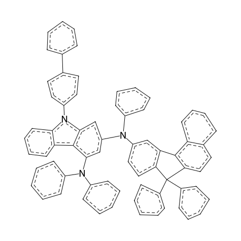 c1ccc(-c2ccc(-n3c4ccccc4c4c(N(c5ccccc5)c5ccccc5)cc(N(c5ccccc5)c5ccc6c(c5)-c5c(ccc7ccccc57)C6(c5ccccc5)c5ccccc5)cc43)cc2)cc1